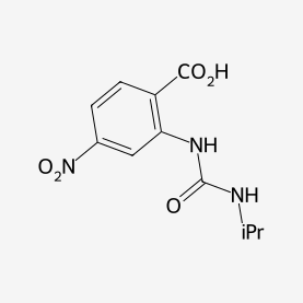 CC(C)NC(=O)Nc1cc([N+](=O)[O-])ccc1C(=O)O